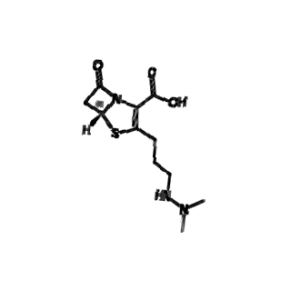 CN(C)NCCCC1=C(C(=O)O)N2C(=O)C[C@H]2S1